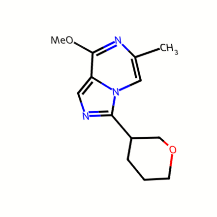 COc1nc(C)cn2c(C3CCCOC3)ncc12